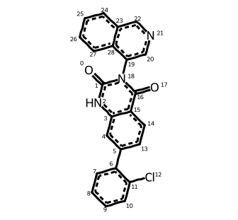 O=c1[nH]c2cc(-c3ccccc3Cl)ccc2c(=O)n1-c1cncc2ccccc12